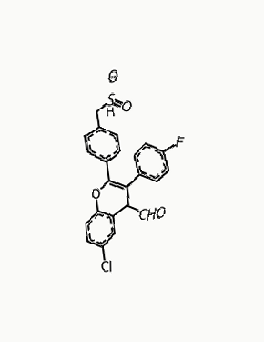 O=CC1C(c2ccc(F)cc2)=C(c2ccc(C[SH](=O)=O)cc2)Oc2ccc(Cl)cc21